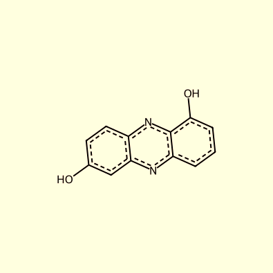 Oc1ccc2nc3c(O)cccc3nc2c1